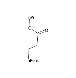 CCCCCCCC(=O)OCCC